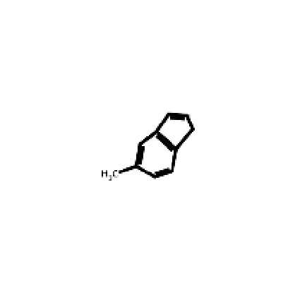 Cc1ccc2c(c1)C=[C]C2